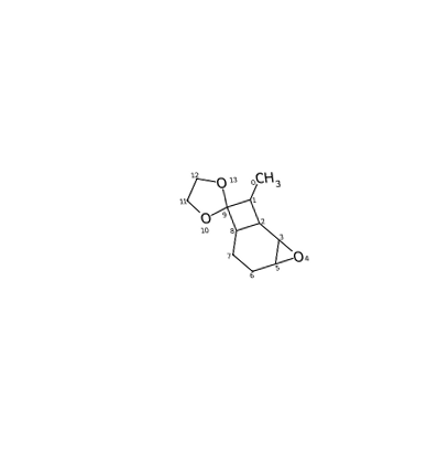 CC1C2C3OC3CCC2C12OCCO2